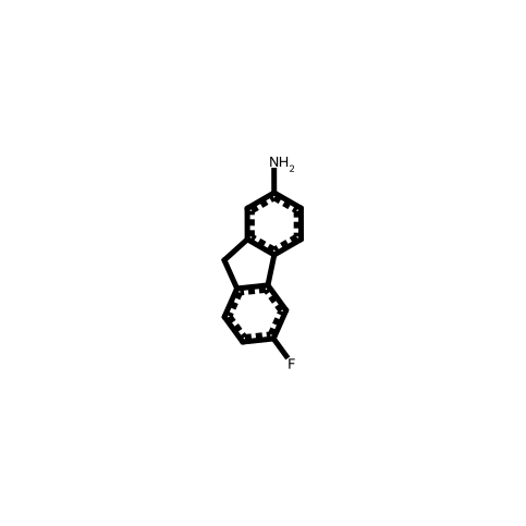 Nc1ccc2c(c1)Cc1ccc(F)cc1-2